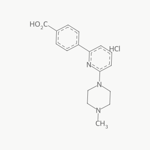 CN1CCN(c2cccc(-c3ccc(C(=O)O)cc3)n2)CC1.Cl